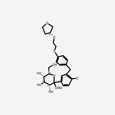 COC1(c2ccc(Cl)c(Cc3ccc(OCCO[C@@H]4CCOC4)cc3)c2)O[C@H](CO)[C@@H](O)[C@H](O)[C@H]1O